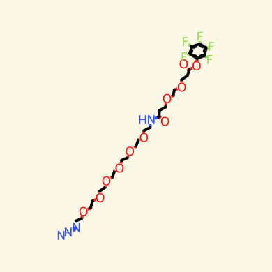 [N-]=[N+]=NCCOCCOCCOCCOCCOCCOCCNC(=O)CCOCCOCCC(=O)Oc1c(F)c(F)c(F)c(F)c1F